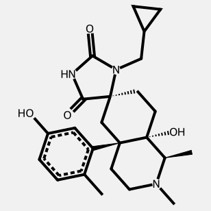 Cc1ccc(O)cc1[C@]12CCN(C)[C@H](C)[C@]1(O)CC[C@]1(C2)C(=O)NC(=O)N1CC1CC1